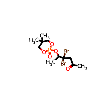 CC(=O)CC(Br)(Br)C(C)OP1(=O)OCC(C)(C)CO1